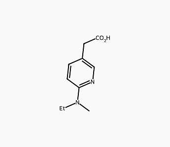 CCN(C)c1ccc(CC(=O)O)cn1